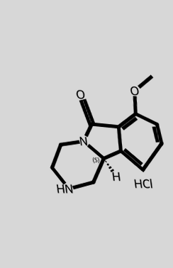 COc1cccc2c1C(=O)N1CCNC[C@H]21.Cl